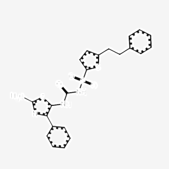 Cc1nc(-c2ccccc2)c(NC(=O)NS(=O)(=O)c2ccc(CCc3ccccc3)s2)s1